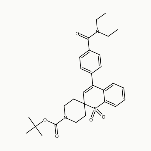 CCN(CC)C(=O)c1ccc(C2=CC3(CCN(C(=O)OC(C)(C)C)CC3)S(=O)(=O)c3ccccc32)cc1